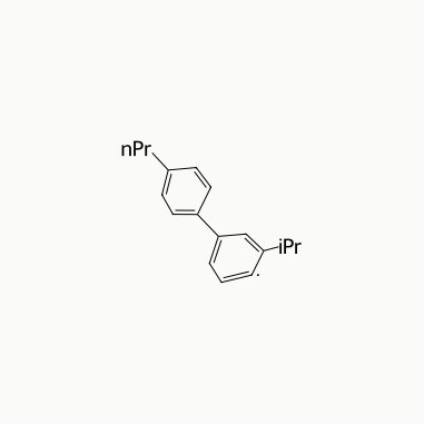 CCCc1ccc(-c2cc[c]c(C(C)C)c2)cc1